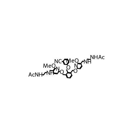 COc1nc(OCc2cccc(COc3ccc(CNCCNC(C)=O)c(OC)n3)c2COc2cccc(C#N)c2)ccc1CNCCNC(C)=O